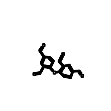 O=Cc1ccc(Oc2ccc(C=O)cc2C=O)c(C=O)c1